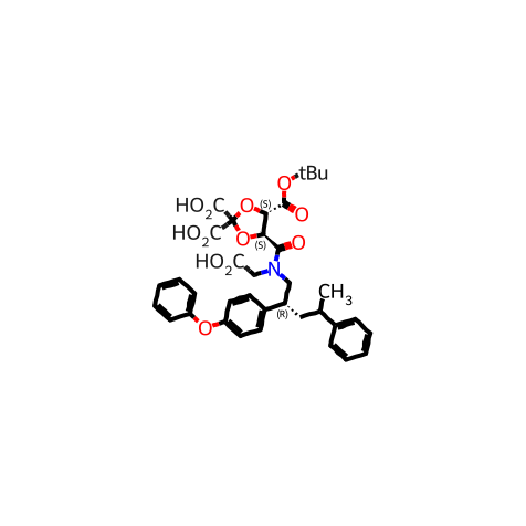 CC(C[C@@H](CN(CC(=O)O)C(=O)[C@H]1OC(C(=O)O)(C(=O)O)O[C@@H]1C(=O)OC(C)(C)C)c1ccc(Oc2ccccc2)cc1)c1ccccc1